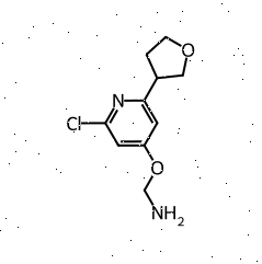 NCOc1cc(Cl)nc(C2CCOC2)c1